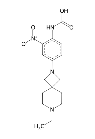 CCN1CCC2(CC1)CN(c1ccc(NC(=O)O)c([N+](=O)[O-])c1)C2